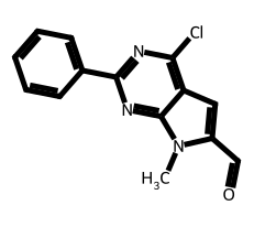 Cn1c(C=O)cc2c(Cl)nc(-c3ccccc3)nc21